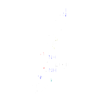 O=C(NC(CNC(=O)c1cc2cc(CCC3CCNCC3)sc2s1)C(=O)O)C1=Nc2ccccc2C1F